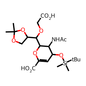 CC(=O)NC1C(O[Si](C)(C)C(C)(C)C)C=C(C(=O)O)OC1C(OCC(=O)O)C1COC(C)(C)O1